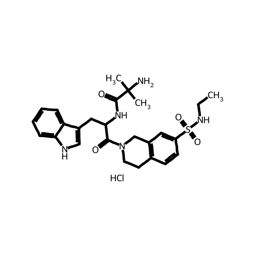 CCNS(=O)(=O)c1ccc2c(c1)CN(C(=O)C(Cc1c[nH]c3ccccc13)NC(=O)C(C)(C)N)CC2.Cl